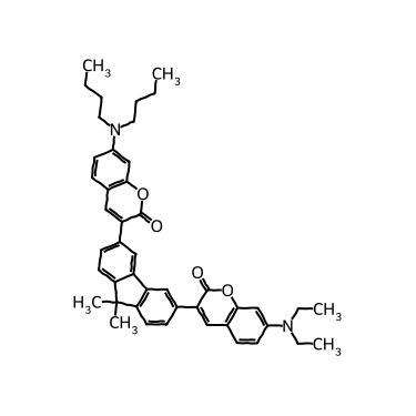 CCCCN(CCCC)c1ccc2cc(-c3ccc4c(c3)-c3cc(-c5cc6ccc(N(CC)CC)cc6oc5=O)ccc3C4(C)C)c(=O)oc2c1